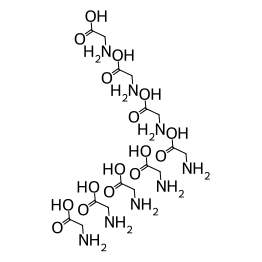 NCC(=O)O.NCC(=O)O.NCC(=O)O.NCC(=O)O.NCC(=O)O.NCC(=O)O.NCC(=O)O.NCC(=O)O